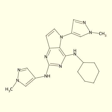 Cn1cc(Nc2nc(NC3CCCCC3)c3c(ccn3-c3cnn(C)c3)n2)cn1